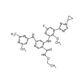 CCONC(=O)c1cnc(Nc2cc(C)nc(C)n2)cc1Nc1cc(F)cc(-c2ncn(C3CC3)n2)c1OC